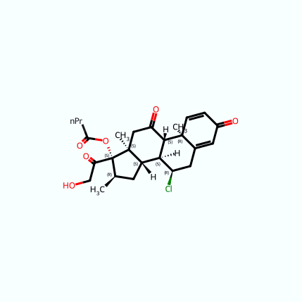 CCCC(=O)O[C@@]1(C(=O)CO)[C@H](C)C[C@H]2[C@@H]3[C@H](Cl)CC4=CC(=O)C=C[C@]4(C)[C@H]3C(=O)C[C@@]21C